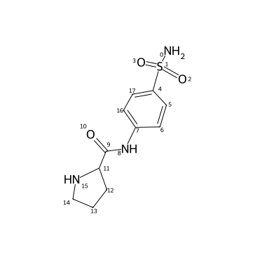 NS(=O)(=O)c1ccc(NC(=O)C2CCCN2)cc1